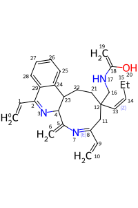 C=CC1=NC2C(=C)/N=C(/C=C)CC(/C=C\CC)(CNC(=C)O)CCC2c2ccccc21